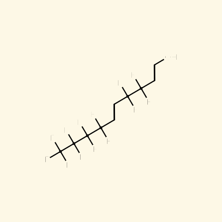 OCCC(F)(F)C(F)(F)CCC(F)(F)C(F)(F)C(F)(F)C(F)(F)F